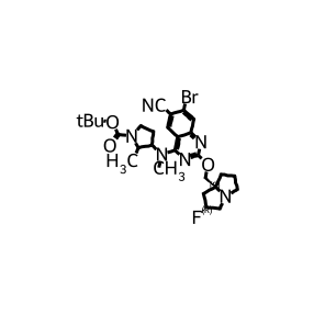 CC1C(N(C)c2nc(OC[C@@]34CCCN3C[C@H](F)C4)nc3cc(Br)c(C#N)cc23)CCN1C(=O)OC(C)(C)C